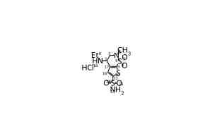 CCNC1CN(C)S(=O)(=O)c2sc(S(N)(=O)=O)cc21.Cl